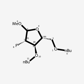 CCCCOC[C@H]1OC(OC)[C@@H](F)[C@@H]1OCCCC